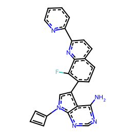 Nc1ncnc2c1c(-c1ccc3ccc(-c4ccccn4)nc3c1F)cn2C1=CC=C1